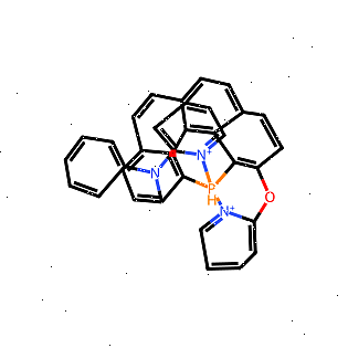 c1ccc(N2c3ccc4ccc5ccc6ccc7c8c6c5c4c3[PH]8([n+]3ccccc3O7)[n+]3ccccc32)cc1